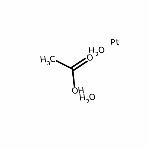 CC(=O)O.O.O.[Pt]